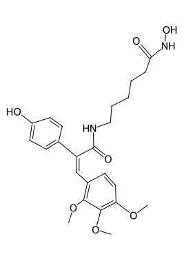 COc1ccc(/C=C(\C(=O)NCCCCCC(=O)NO)c2ccc(O)cc2)c(OC)c1OC